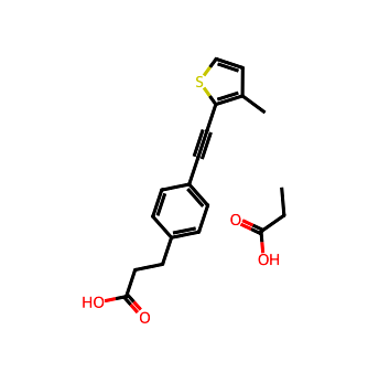 CCC(=O)O.Cc1ccsc1C#Cc1ccc(CCC(=O)O)cc1